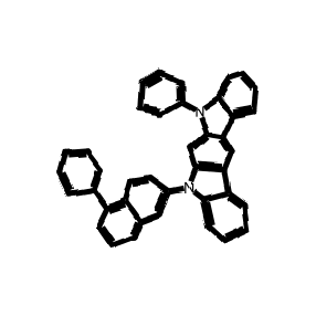 c1ccc(-c2cccc3cc(-n4c5ccccc5c5cc6c7ccccc7n(-c7ccccc7)c6cc54)ccc23)cc1